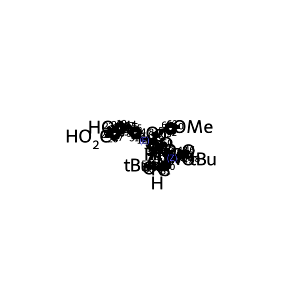 COc1ccc(COC(=O)C2=C(/C=C/c3ccc(C[n+]4ccc5c(O)c(C(=O)O)ccc5c4)cc3)CS[C@@H]3[C@H](NC(=O)/C(=N\OC(C)(C)C(=O)OC(C)(C)C)c4csc(NC(=O)OC(C)(C)C)n4)C(=O)N23)cc1